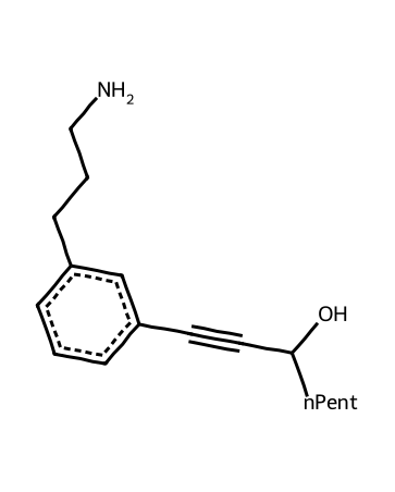 CCCCCC(O)C#Cc1cccc(CCCN)c1